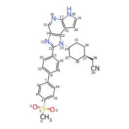 CS(=O)(=O)c1ccc(-c2ccc(-c3nc4cnc5[nH]ccc5c4n3[C@H]3CC[C@H](CC#N)CC3)cc2)cc1